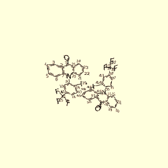 O=c1c2ccccc2n(-c2cc(C(F)(F)F)ccc2I)c2ccccc12.O=c1c2ccccc2n(-c2ccc(C(F)(F)F)cc2I)c2ccccc12